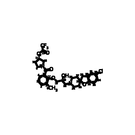 Cc1cccc(C(=O)N2CC[C@H](OC(=O)C(F)(F)F)C2)c1OC[C@H](O)CN1CCC2(CC1)Cc1cc(Cl)ccc1O2